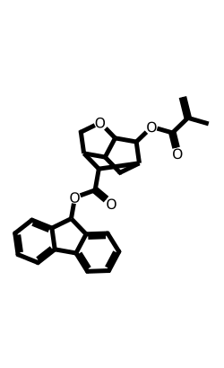 C=C(C)C(=O)OC1C2CC3C(COC31)C2C(=O)OC1c2ccccc2-c2ccccc21